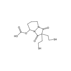 O=C(O)OC1CCCN2C(=O)C(CCS)(CCS)C(=O)N12